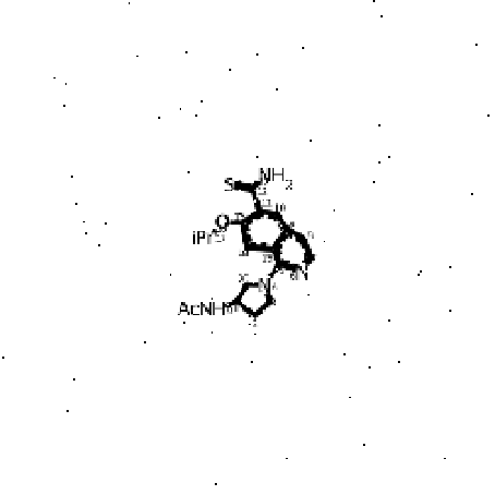 CC(=O)NC1CCN(c2nccc3cc(C(N)=S)c(OC(C)C)cc23)C1